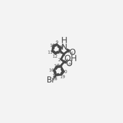 O=C(CC1(O)C(=O)Nc2ccccc21)c1ccc(Br)cc1